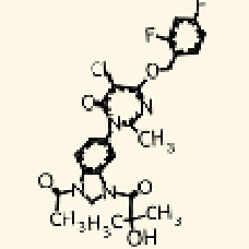 CC(=O)N1CN(C(=O)C(C)(C)O)c2cc(-n3c(C)nc(OCc4ccc(F)cc4F)c(Cl)c3=O)ccc21